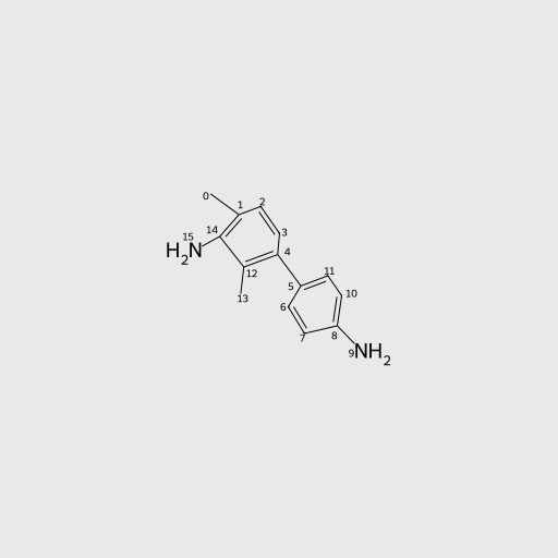 Cc1ccc(-c2ccc(N)cc2)c(C)c1N